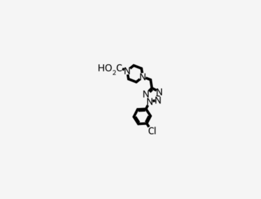 O=C(O)N1CCN(Cc2nnn(-c3cccc(Cl)c3)n2)CC1